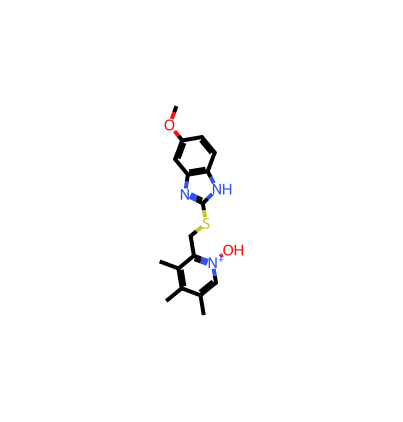 COc1ccc2[nH]c(SCc3c(C)c(C)c(C)c[n+]3O)nc2c1